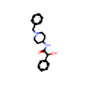 O=C(NC1CCN(Cc2ccccc2)CC1)C(O)c1ccccc1